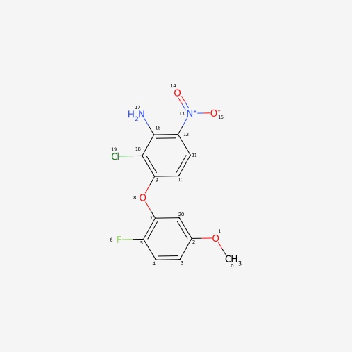 COc1ccc(F)c(Oc2ccc([N+](=O)[O-])c(N)c2Cl)c1